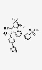 CC(c1ccc(-n2cncn2)cc1)N1c2ccc(-c3cccc(S(C)(=O)=O)c3)nc2C(N)N(CC(F)(F)F)C1N